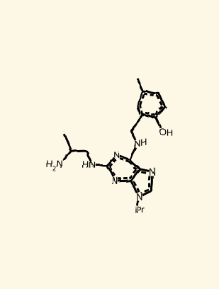 Cc1ccc(O)c(CNc2nc(NCC(C)N)nc3c2ncn3C(C)C)c1